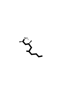 CCCCC(C)C[C@H](C)C[C@@H](C)N